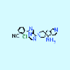 N#Cc1cccc(-c2ncc3c(N4CCC5(CC4)Cc4cnccc4C5N)nccn23)c1Cl